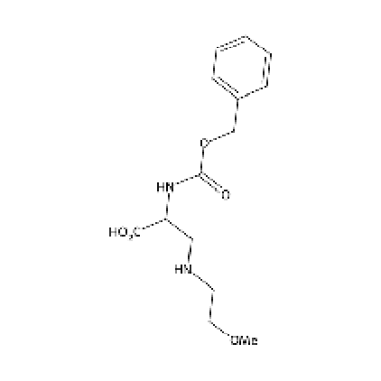 COCCNCC(NC(=O)OCc1ccccc1)C(=O)O